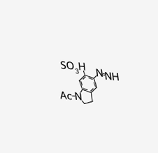 CC(=O)N1CCc2cc(N=N)c(S(=O)(=O)O)cc21